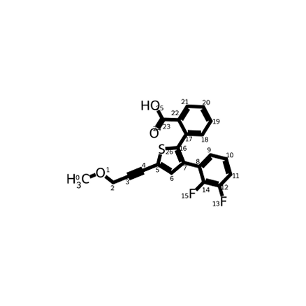 COCC#Cc1cc(-c2cccc(F)c2F)c(-c2ccccc2C(=O)O)s1